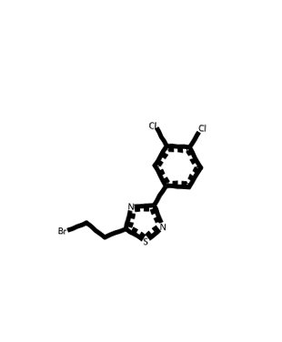 Clc1ccc(-c2nsc(CCBr)n2)cc1Cl